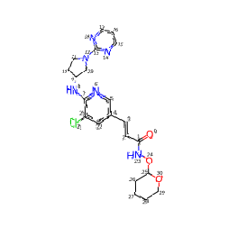 O=C(/C=C/c1cnc(N[C@@H]2CCN(c3ncccn3)C2)c(Cl)c1)NOC1CCCCO1